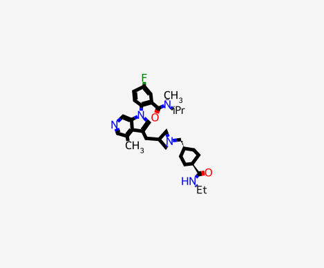 CCNC(=O)[C@H]1CC[C@H](CN2CC(Cc3cn(-c4ccc(F)cc4C(=O)N(C)C(C)C)c4cncc(C)c34)C2)CC1